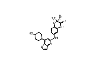 CC1(C)Oc2ccc(Nc3nc(N4CCC(O)CC4)c4occc4n3)cc2NC1=O